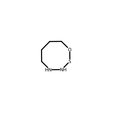 C1CCOSNNC1